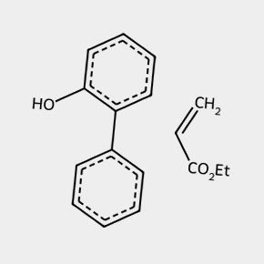 C=CC(=O)OCC.Oc1ccccc1-c1ccccc1